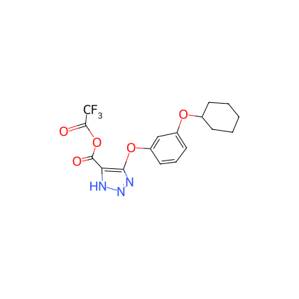 O=C(OC(=O)C(F)(F)F)c1[nH]nnc1Oc1cccc(OC2CCCCC2)c1